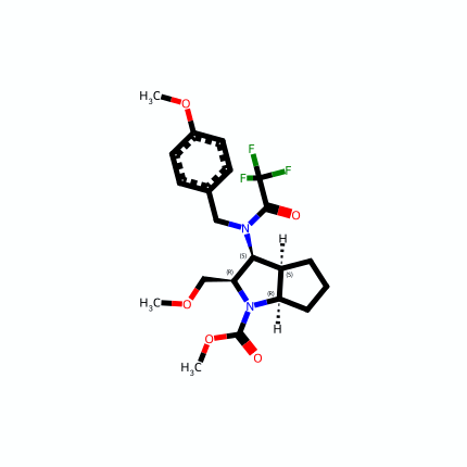 COC[C@H]1[C@@H](N(Cc2ccc(OC)cc2)C(=O)C(F)(F)F)[C@H]2CCC[C@H]2N1C(=O)OC